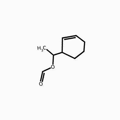 CC(OC=O)C1C=CCCC1